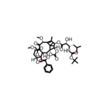 CO[C@H]1C(=O)C2[C@@H](OC)C[C@H]3OC[C@@]3(OC(C)=O)[C@H]2[C@H](OC(=O)c2ccccc2)[C@]23OC(=O)O[C@H]2[C@H](OC(=O)[C@H](O)[C@H](CC(C)C)NC(=O)OC(C)(C)C)C(C)=C1C3(C)C